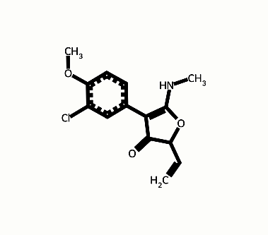 C=CC1OC(NC)=C(c2ccc(OC)c(Cl)c2)C1=O